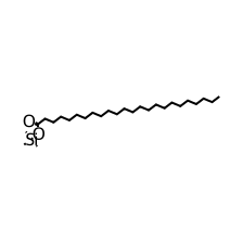 CCCCCCCCCCCCCCCCCCCCCCCC(=O)O[Si](C)(C)C